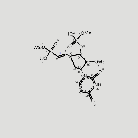 CO[C@@H]1[C@H](OP(=O)(O)OC)[C@@H](/C=C/P(=O)(O)OC)C[C@H]1n1ccc(=O)[nH]c1=O